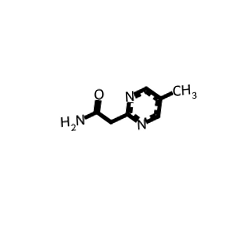 Cc1cnc(CC(N)=O)nc1